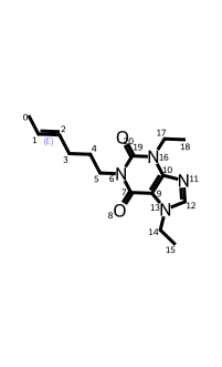 C/C=C/CCCn1c(=O)c2c(ncn2CC)n(CC)c1=O